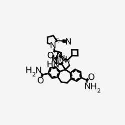 N#C[C@@H]1CCCN1C(=O)CN[C@H](CC1(c2nnn[nH]2)c2ccc(C(N)=O)cc2CCc2cc(C(N)=O)ccc21)C1CCC1